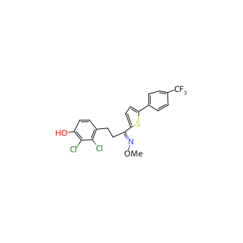 CO/N=C(\CCc1ccc(O)c(Cl)c1Cl)c1ccc(-c2ccc(C(F)(F)F)cc2)s1